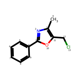 Cc1nc(-c2ccccc2)oc1CCl